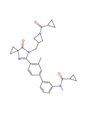 Cc1cc(-c2cccc(N(C)C(=O)C3CC3)c2)ccc1C1=NC2(CC2)C(=O)N1CC1CN(C(=O)C2CC2)C1